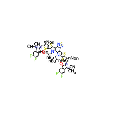 [C-]#[N+]/C(C#N)=C1/C(=C/c2sc3c(sc4c5c6nsnc6c6c7sc8c(CCCCCCCCC)c(/C=C9\C(=O)c%10cc(F)c(F)cc%10\C9=C(/C)C#N)sc8c7n(CC(CCCC)CCCCCC)c6c5n(CC(CCCC)CCCCCC)c34)c2CCCCCCCCC)C(=O)c2cc(F)c(F)cc21